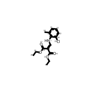 CCOC(=O)C(=CNc1c(C)cccc1Cl)C(=O)OCC